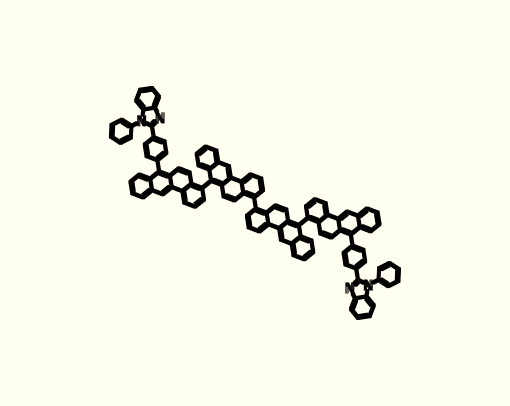 c1ccc(-n2c(-c3ccc(-c4c5ccccc5cc5c4ccc4c(-c6c7ccccc7cc7c6ccc6c(-c8cccc9c8ccc8c(-c%10cccc%11c%10ccc%10c(-c%12ccc(-c%13nc%14ccccc%14n%13-c%13ccccc%13)cc%12)c%12ccccc%12cc%10%11)c%10ccccc%10cc89)cccc67)cccc45)cc3)nc3ccccc32)cc1